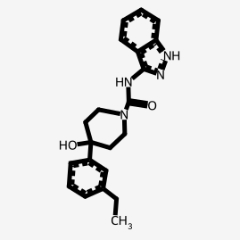 CCc1cccc(C2(O)CCN(C(=O)Nc3n[nH]c4ccccc34)CC2)c1